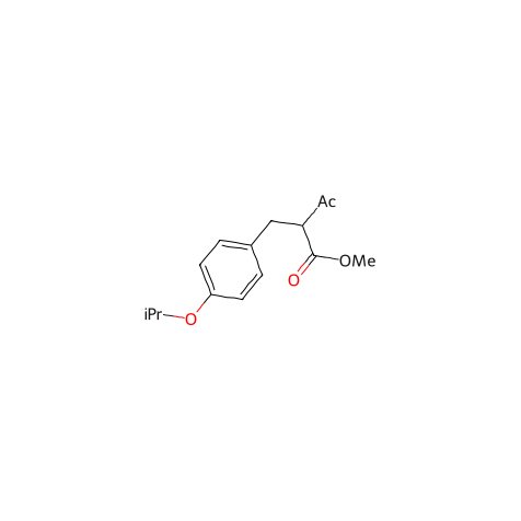 COC(=O)C(Cc1ccc(OC(C)C)cc1)C(C)=O